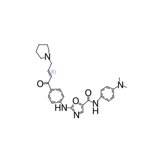 CN(C)c1ccc(NC(=O)c2cnc(Nc3ccc(C(=O)/C=C/CN4CCCCC4)cc3)o2)cc1